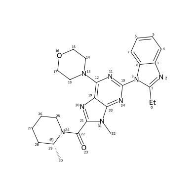 CCc1nc2ccccc2n1-c1nc(N2CCOCC2)c2nc(C(=O)N3CCCC[C@H]3C)n(C)c2n1